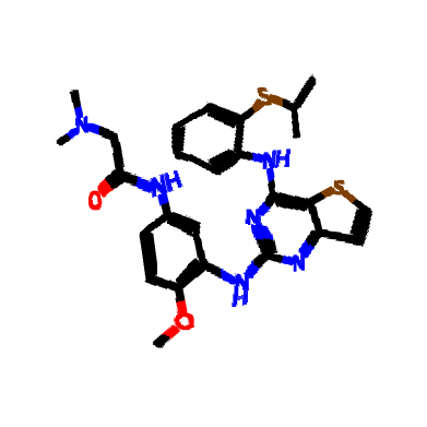 COc1ccc(NC(=O)CN(C)C)cc1Nc1nc(Nc2ccccc2SC(C)C)c2sccc2n1